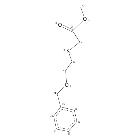 COC(=O)CSCCOCc1ccccc1